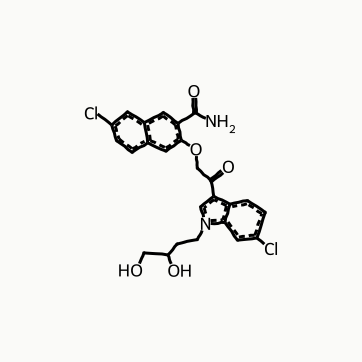 NC(=O)c1cc2cc(Cl)ccc2cc1OCC(=O)c1cn(CCC(O)CO)c2cc(Cl)ccc12